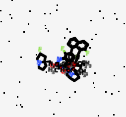 COc1c(F)c(-c2cccc3ccc(F)c(C#C[Si](C(C)C)(C(C)C)C(C)C)c23)c(F)c2nc(OC[C@@]34CCCN3C[C@H](F)C4)nc(N3CC4CCC(C3)N4C(=O)OC(C)(C)C)c12